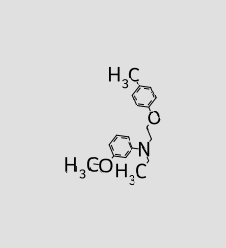 CCN(CCOc1ccc(C)cc1)c1cccc(OC)c1